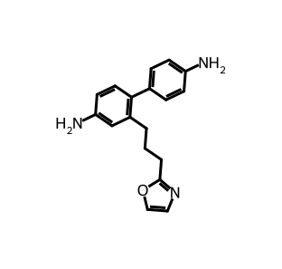 Nc1ccc(-c2ccc(N)cc2CCCc2ncco2)cc1